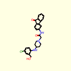 O=C(CN1CCC(Nc2ccc(Cl)cc2CO)CC1)Nc1ccc2c(c1)-c1ccccc1C2=O